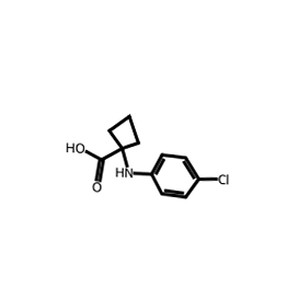 O=C(O)C1(Nc2ccc(Cl)cc2)CCC1